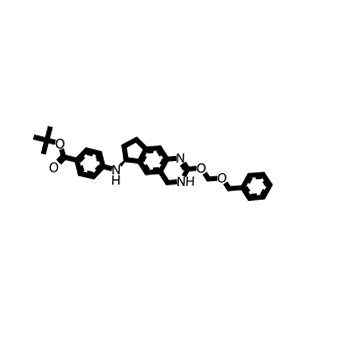 CC(C)(C)OC(=O)c1ccc(N[C@H]2CCc3cc4c(cc32)CNC(OCOCc2ccccc2)=N4)cc1